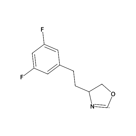 Fc1cc(F)cc(CCC2CO[C]=N2)c1